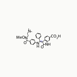 CON(CCN(C)C)C(=O)c1ccc(N/C(=C2\C(=O)Nc3cc(C(=O)O)ccc32)c2ccccc2)cc1